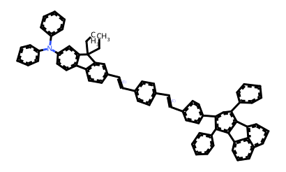 CCC1(CC)c2cc(/C=C/c3ccc(/C=C/c4ccc(-c5cc(-c6ccccc6)c6c(c5-c5ccccc5)-c5cccc7cccc-6c57)cc4)cc3)ccc2-c2ccc(N(c3ccccc3)c3ccccc3)cc21